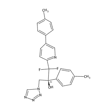 Cc1ccc(-c2ccc(C(F)(F)[C@@](O)(Cn3cnnn3)c3ccc(C)cc3)nc2)cc1